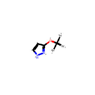 [2H]C([2H])([2H])Oc1cc[nH]n1